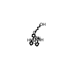 O=C(Nc1ccccc1Oc1ccccc1-c1nnn[nH]1)c1ccc(OCCCCCCO)cc1